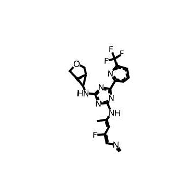 C=N/C=C(F)\C=C(/C)Nc1nc(NC2C3COCC32)nc(-c2cccc(C(F)(F)F)n2)n1